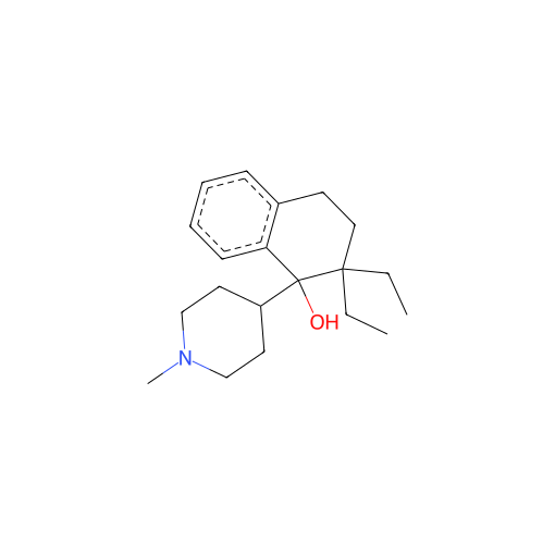 CCC1(CC)CCc2ccccc2C1(O)C1CCN(C)CC1